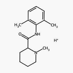 Cc1cccc(C)c1NC(=O)C1CCCCN1C.[H+]